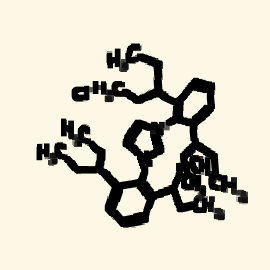 CCC(CC)c1cccc(C(CC)CC)c1-n1cc[n+](-c2c(C(CC)CC)cccc2C(CC)CC)c1.[Cl-]